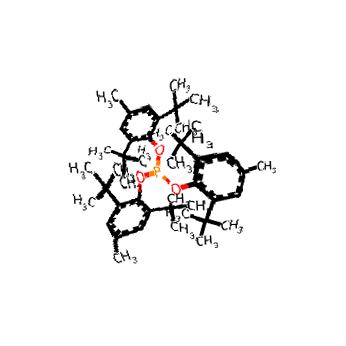 Cc1cc(C(C)(C)C)c(OP(Oc2c(C(C)(C)C)cc(C)cc2C(C)(C)C)Oc2c(C(C)(C)C)cc(C)cc2C(C)(C)C)c(C(C)(C)C)c1